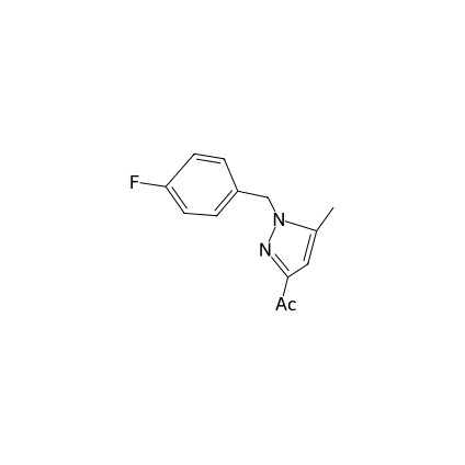 CC(=O)c1cc(C)n(Cc2ccc(F)cc2)n1